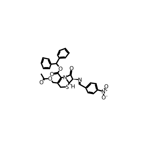 CC(=O)OCC1=C(C(=O)OC(c2ccccc2)c2ccccc2)N2C(=O)[C@@H](N=Cc3ccc([N+](=O)[O-])cc3)[C@H]2SC1